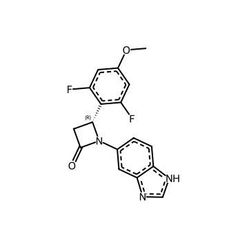 COc1cc(F)c([C@H]2CC(=O)N2c2ccc3[nH]cnc3c2)c(F)c1